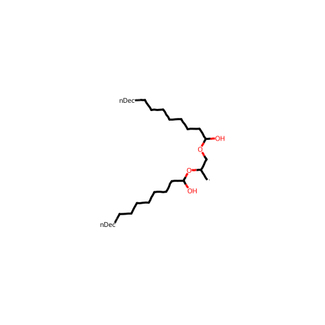 [CH2]C(COC(O)CCCCCCCCCCCCCCCCC)OC(O)CCCCCCCCCCCCCCCCC